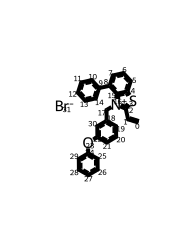 C=Cc1sc2cccc(-c3ccccc3)c2[n+]1Cc1cccc(Oc2ccccc2)c1.[Br-]